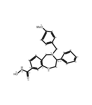 COc1ccc(CN2Cc3ccc(C(=O)NO)cc3OCC2c2ccccc2)cc1